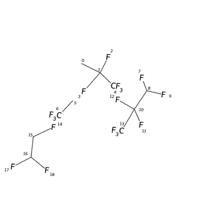 CC(F)(F)C(F)(F)F.CC(F)(F)F.FC(F)C(F)(F)C(F)(F)F.FCC(F)F